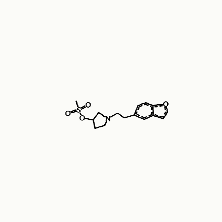 CS(=O)(=O)OC1CCN(CCc2ccc3occc3c2)C1